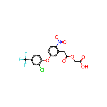 O=C(O)COC(=O)Cc1cc(Oc2ccc(C(F)(F)F)cc2Cl)ccc1[N+](=O)[O-]